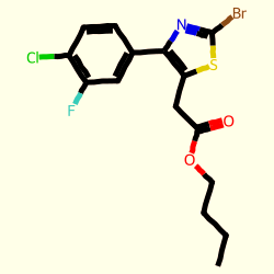 CCCCOC(=O)Cc1sc(Br)nc1-c1ccc(Cl)c(F)c1